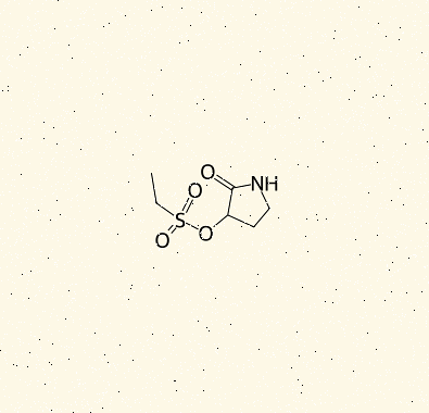 CCS(=O)(=O)OC1CCNC1=O